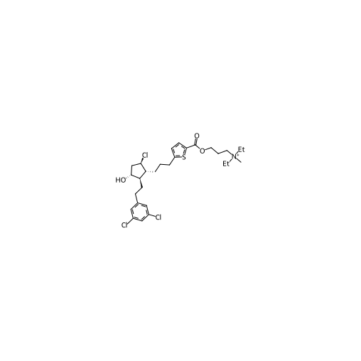 CC[N+](C)(CC)CCCOC(=O)c1ccc(CCC[C@@H]2[C@@H](CCc3cc(Cl)cc(Cl)c3)[C@H](O)C[C@H]2Cl)s1